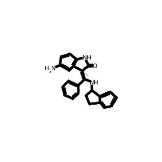 Nc1ccc2c(c1)/C(=C(/NC1CCc3ccccc31)c1ccccc1)C(=O)N2